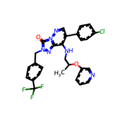 CC(CNc1c(-c2ccc(Cl)cc2)cnn2c(=O)n(Cc3ccc(C(F)(F)F)cc3)nc12)Oc1cccnc1